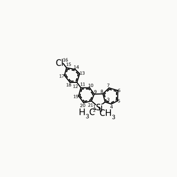 C[Si]1(C)c2ccccc2-c2cc(-c3ccc(Cl)cc3)ccc21